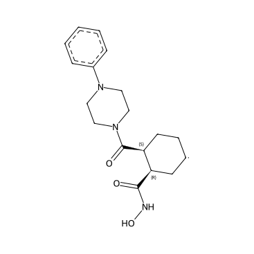 O=C(NO)[C@@H]1C[CH]CC[C@@H]1C(=O)N1CCN(c2ccccc2)CC1